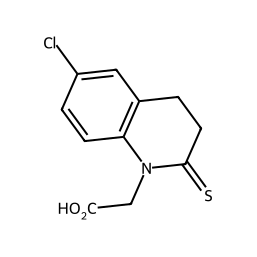 O=C(O)CN1C(=S)CCc2cc(Cl)ccc21